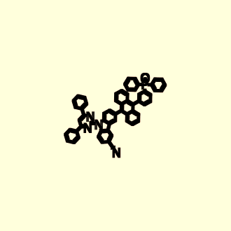 N#Cc1ccc2c(c1)c1cc(-c3c4ccccc4c(-c4cccc(P(=O)(c5ccccc5)c5ccccc5)c4)c4ccccc34)ccc1n2-c1nc(-c2ccccc2)cc(-c2ccccc2)n1